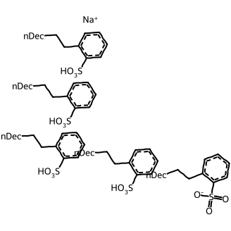 CCCCCCCCCCCCc1ccccc1S(=O)(=O)O.CCCCCCCCCCCCc1ccccc1S(=O)(=O)O.CCCCCCCCCCCCc1ccccc1S(=O)(=O)O.CCCCCCCCCCCCc1ccccc1S(=O)(=O)O.CCCCCCCCCCCCc1ccccc1S(=O)(=O)[O-].[Na+]